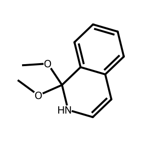 COC1(OC)NC=Cc2ccccc21